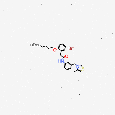 CCCCCCCCCCCCCCOc1ccccc1CC(=O)Nc1cccc(C[n+]2cscc2C)c1.[Br-]